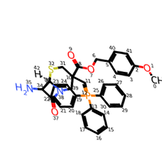 COc1ccc(COC(=O)C2(C=P(c3ccccc3)(c3ccccc3)c3ccccc3)CS[C@@H]3C(N)C(=O)N3C2)cc1